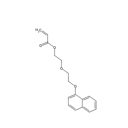 C=CC(=O)OCCOCCOc1cccc2ccccc12